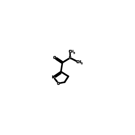 CN(C)C(=O)C1=NOCC1